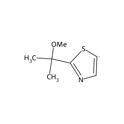 COC(C)(C)c1nc[c]s1